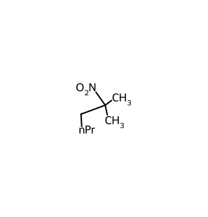 CCCCC(C)(C)[N+](=O)[O-]